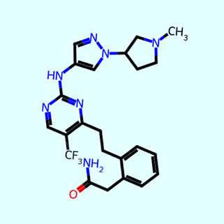 CN1CCC(n2cc(Nc3ncc(C(F)(F)F)c(CCc4ccccc4CC(N)=O)n3)cn2)C1